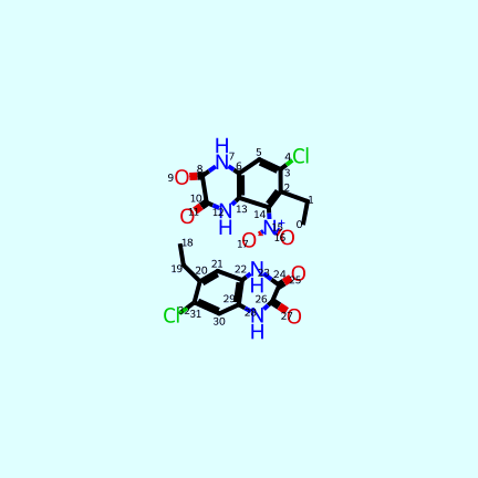 CCc1c(Cl)cc2[nH]c(=O)c(=O)[nH]c2c1[N+](=O)[O-].CCc1cc2[nH]c(=O)c(=O)[nH]c2cc1Cl